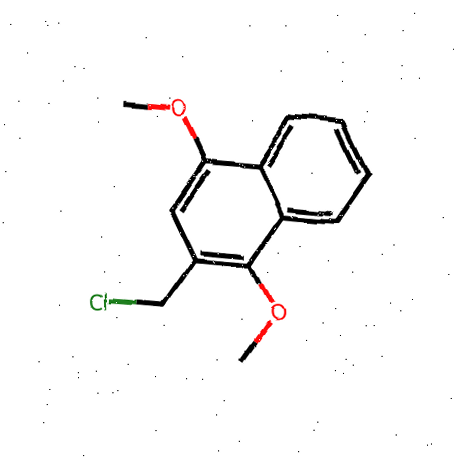 COc1cc(CCl)c(OC)c2ccccc12